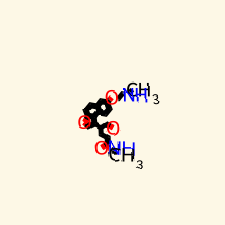 CNCCOc1ccc2c(ccc3occ(C(C=O)CCC(=O)NC)c32)c1